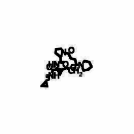 C=CC1CC1(NC(=O)C1CCCN1C(=O)CCC(=O)N1CCCCC1)C(=O)NSC1CC1